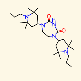 CCCN1C(C)(C)CC(N2CCN(C3CC(C)(C)N(CCC)C(C)(C)C3)C(=O)NC2=O)CC1(C)C